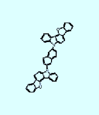 c1ccc2c(c1)oc1c2ccc2c1c1ccccc1n2-c1ccc2cc(-n3c4ccccc4c4c5oc6ccccc6c5ccc43)ccc2c1